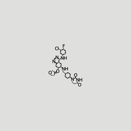 O=C1CCN(c2ccc(CNc3cc4c(Nc5ccc(F)c(Cl)c5)ncnc4cc3O[C@H]3CCOC3)cc2)C(=O)N1